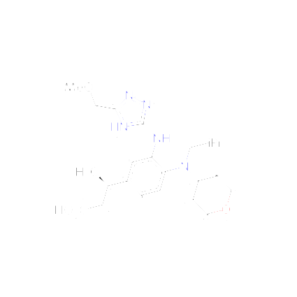 COCc1nnc(Nc2cc([C@H](C)CC(=O)O)ccc2N(CC(C)C)C2CCOCC2)[nH]1